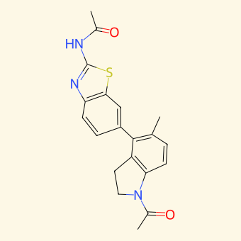 CC(=O)Nc1nc2ccc(-c3c(C)ccc4c3CCN4C(C)=O)cc2s1